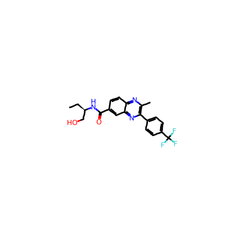 CC[C@H](CO)NC(=O)c1ccc2nc(C)c(-c3ccc(C(F)(F)F)cc3)nc2c1